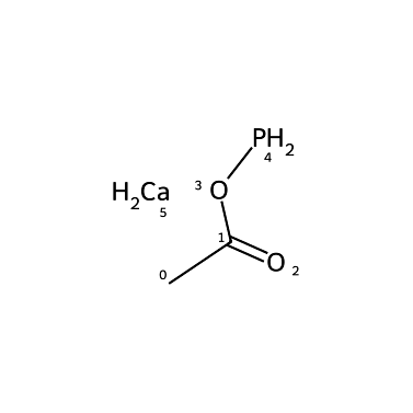 CC(=O)OP.[CaH2]